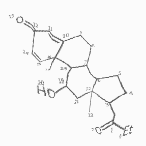 CCC(=O)C1CCC2C3CCC4=CC(=O)C=CC4(C)C3C(O)CC12C